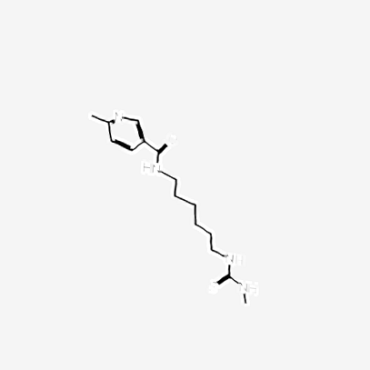 CNC(=S)NCCCCCCNC(=O)c1ccc(C)nc1